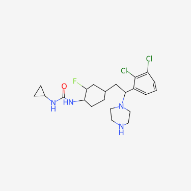 O=C(NC1CC1)NC1CCC(CC(c2cccc(Cl)c2Cl)N2CCNCC2)CC1F